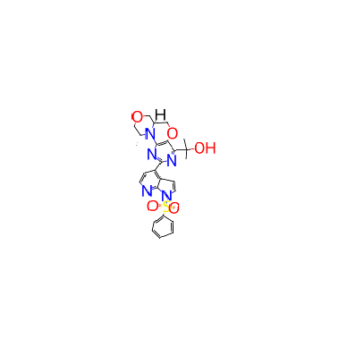 C[C@@H]1COC[C@H]2COc3c(nc(-c4ccnc5c4ccn5S(=O)(=O)c4ccccc4)nc3C(C)(C)O)N21